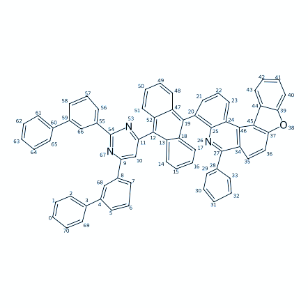 c1ccc(-c2cccc(-c3cc(-c4c5ccccc5c(-c5cccc6c5nc(-c5ccccc5)c5ccc7oc8ccccc8c7c56)c5ccccc45)nc(-c4cccc(-c5ccccc5)c4)n3)c2)cc1